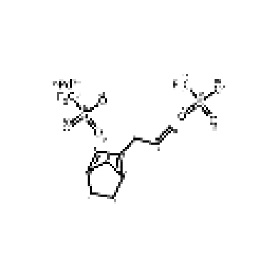 C=CCC1=C2CCC(=C1)C2.O=S(=O)([O-])C(F)(F)F.O=S(=O)([O-])C(F)(F)F.[Pd+2]